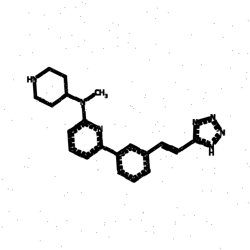 CN(c1cccc(-c2cccc(/C=C/c3nnn[nH]3)c2)n1)C1CCNCC1